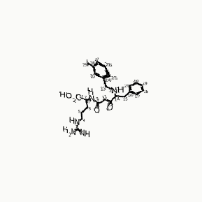 N=C(N)NCCC[C@H](NC(=O)CC(=O)C(Cc1ccccc1)NCc1cccc(I)c1)C(=O)O